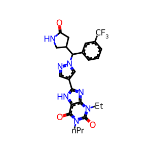 CCCn1c(=O)c2[nH]c(-c3cnn(C(c4cccc(C(F)(F)F)c4)C4CNC(=O)C4)c3)nc2n(CC)c1=O